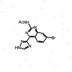 CC(=O)Nc1nc(-c2nc[nH]n2)c2ccc(Br)cc2n1